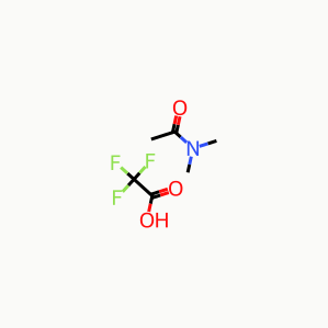 CC(=O)N(C)C.O=C(O)C(F)(F)F